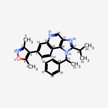 Cc1noc(C)c1-c1ccc2c(c1)ncc1nc(C(C)C)n(C(C)c3ccccc3)c12